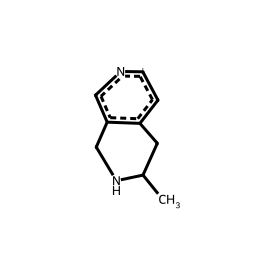 CC1Cc2c[c]ncc2CN1